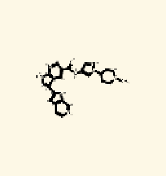 CN1CCC(n2cc(NC(=O)c3cnc4[nH]cc(-c5cc6ccncc6s5)c4c3)cn2)CC1